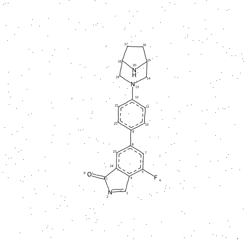 O=C1N=Cc2c(F)cc(-c3ccc(N4CC5CCC(C4)N5)cc3)cc21